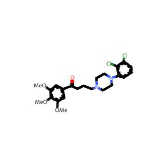 COc1cc(C(=O)CCCN2CCN(c3cccc(Cl)c3Cl)CC2)cc(OC)c1OC